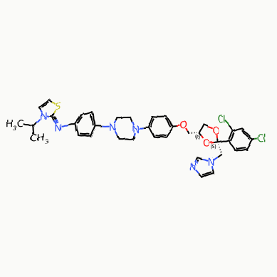 CC(C)n1ccsc1=Nc1ccc(N2CCN(c3ccc(OC[C@@H]4CO[C@@](Cn5ccnc5)(c5ccc(Cl)cc5Cl)O4)cc3)CC2)cc1